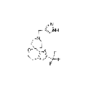 FC(F)(F)c1cc2c(s1)C1(CCN(Cc3cn[nH]c3)CC1)OCC2